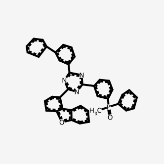 CP(=O)(c1ccccc1)c1cccc(-c2nc(-c3cccc(-c4ccccc4)c3)nc(-c3cccc4oc5ccccc5c34)n2)c1